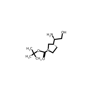 CC(C)(C)OC(=O)N1CC[C@@H]([C@@H](N)CO)C1